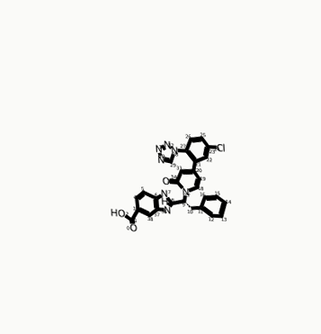 O=C(O)c1ccc2[nH]c([C@@H](Cc3ccccc3)n3ccc(-c4cc(Cl)ccc4-n4cnnn4)cc3=O)nc2c1